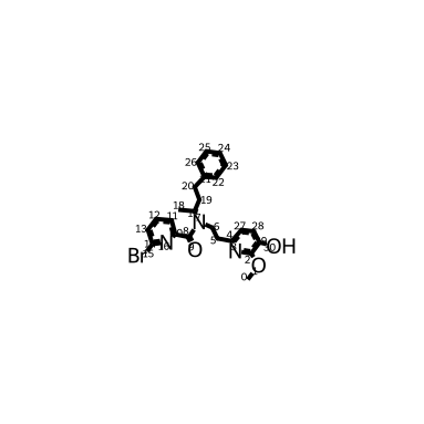 COc1nc(CCN(C(=O)c2cccc(Br)n2)C(C)CCc2ccccc2)ccc1O